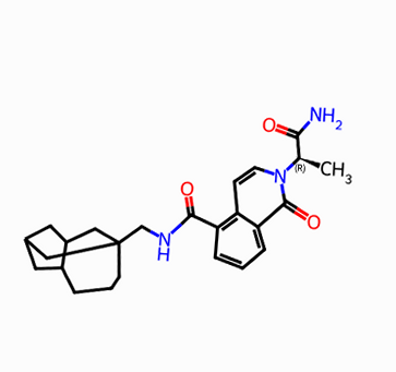 C[C@H](C(N)=O)n1ccc2c(C(=O)NCC34CCCC5CC(CC5C3)C4)cccc2c1=O